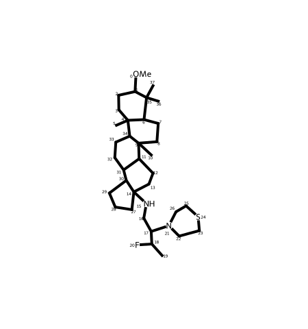 COC1CCC2(C)C(CCC3(C)C4CCC5(NCC(C(C)F)N6CCSCC6)CCCC5C4CCC32)C1(C)C